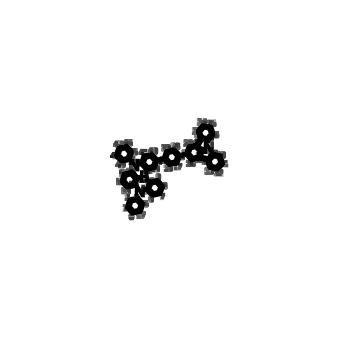 c1ccc(N2c3ccccc3B3c4cc(-c5ccc(-c6cc7c8ccccc8n8c9ccccc9c(c6)c78)cc5)ccc4N(c4ccccc4)c4cccc2c43)cc1